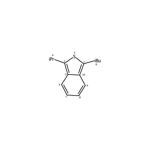 CCC(C)c1sc(C(C)C)c2ccccc12